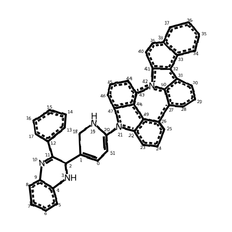 C1=C(C2Nc3ccccc3N=C2c2ccccc2)CNC(n2c3cccc4c5cccc6c7c8ccccc8ccc7n(c7cccc2c7c43)c56)=C1